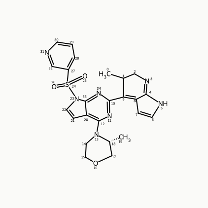 CC1CN=c2[nH]ccc2=C1c1nc(N2CCOC[C@H]2C)c2ccn(S(=O)(=O)c3cccnc3)c2n1